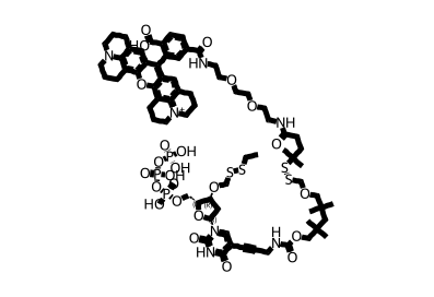 CCSSCO[C@@H]1C[C@H](n2cc(C#CCNC(=O)OCC(C)(C)CC(C)(C)COCSSC(C)(C)CCC(=O)NCCOCCOCCNC(=O)c3ccc(C(=O)O)c(C4=c5cc6c7c(c5Oc5c4cc4c8c5CCCN8CCC4)CCC[N+]=7CCC6)c3)c(=O)[nH]c2=O)O[C@@H]1COP(=O)(O)OP(=O)(O)OP(=O)(O)O